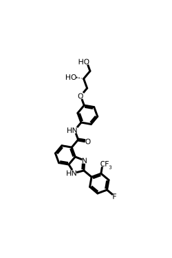 O=C(Nc1cccc(OC[C@H](O)CO)c1)c1cccc2[nH]c(-c3ccc(F)cc3C(F)(F)F)nc12